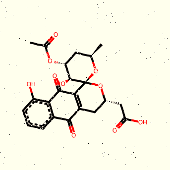 CC(=O)O[C@@H]1C[C@@H](C)O[C@]2(O[C@H](CC(=O)O)CC3=C2C(=O)c2c(O)cccc2C3=O)[C@H]1O